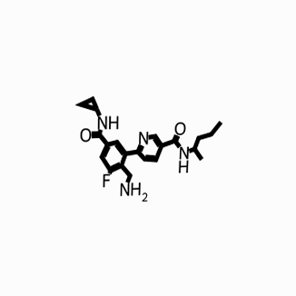 CCCC(C)NC(=O)c1ccc(-c2cc(C(=O)NC3CC3)cc(F)c2CN)nc1